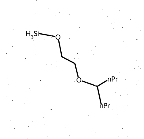 CCCC(CCC)OCCO[SiH3]